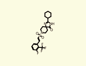 O=C1NC(C2CCCCC2)=NC12CCN(S(=O)(=O)/C=C/c1cccc(F)c1C(F)(F)F)CC2